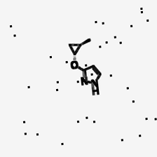 C[C@@H]1C[C@H]1Oc1cc[nH]n1